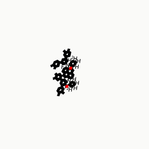 [2H]c1c([2H])c([2H])c(N(c2cc(-c3ccc(C)c(C)c3)cc(-c3ccc(C)c(C)c3)c2F)c2ccc3ccc4c(N(c5cc(-c6ccc(C)c(C)c6)cc(-c6ccc(C)c(C)c6)c5F)c5c([2H])c([2H])c([2H])c([2H])c5[2H])ccc5ccc2c3c54)c([2H])c1[2H]